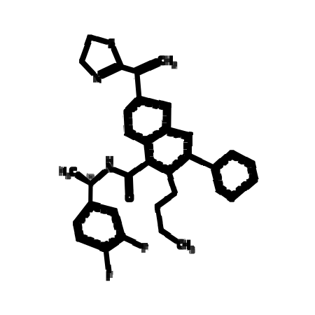 C=C(C1=NCCS1)c1ccc2c(C(=O)N[C@H](C)c3ccc(F)c(F)c3)c(CCCC)c(-c3ccccc3)cc2c1